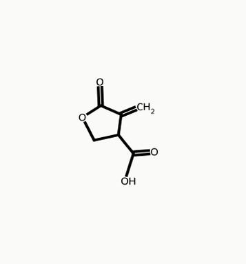 C=C1C(=O)OCC1C(=O)O